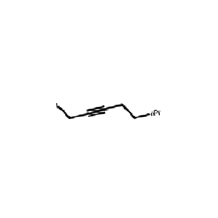 CCCCCC#CCI